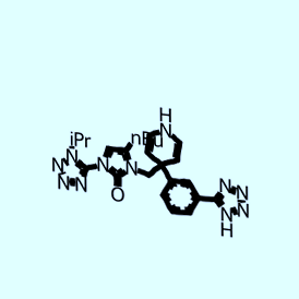 CCCCc1cn(-c2nnnn2C(C)C)c(=O)n1CC1(c2cccc(-c3nnn[nH]3)c2)C=CNC=C1